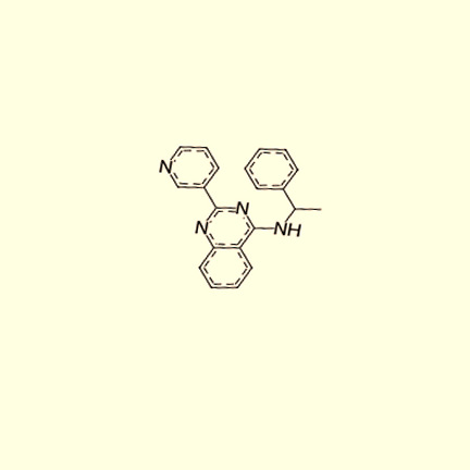 CC(Nc1nc(-c2cccnc2)nc2ccccc12)c1ccccc1